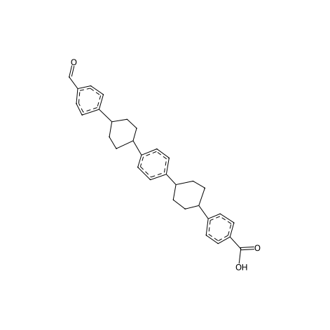 O=Cc1ccc(C2CCC(c3ccc(C4CCC(c5ccc(C(=O)O)cc5)CC4)cc3)CC2)cc1